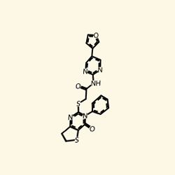 O=C(CSc1nc2c(c(=O)n1-c1ccccc1)SCC2)Nc1ncc(-c2ccoc2)cn1